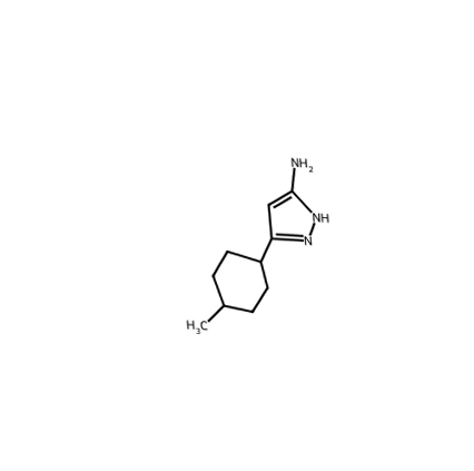 CC1CCC(c2cc(N)[nH]n2)CC1